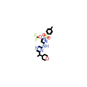 Cc1ccc(S(=O)(=O)n2nc(Nc3cncc(C(C)C4CCOCC4)n3)cc2OC(F)F)cc1